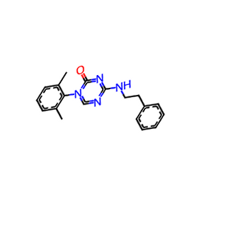 Cc1cccc(C)c1-n1cnc(NCCc2ccccc2)nc1=O